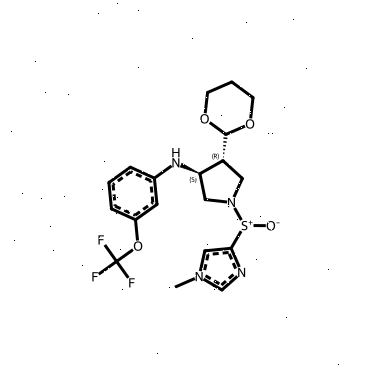 Cn1cnc([S+]([O-])N2C[C@@H](Nc3cccc(OC(F)(F)F)c3)[C@H](C3OCCCO3)C2)c1